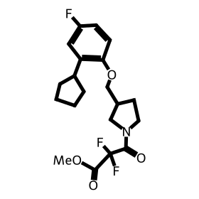 COC(=O)C(F)(F)C(=O)N1CCC(COc2ccc(F)cc2C2CCCC2)C1